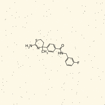 CC1(c2ccc(C(=O)NCc3cccc(F)c3)cc2)CCSC(N)=N1